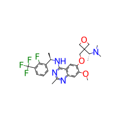 COc1cc2nc(C)nc(N[C@H](C)c3cccc(C(F)(F)F)c3F)c2cc1OCC1([C@@H](C)N(C)C)COC1